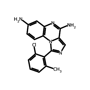 Cc1cccc(Cl)c1-c1ncc2c(N)nc3cc(N)ccc3n12